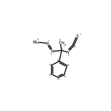 CC(C)(C)N=NC(C)(N=C=S)c1ccccc1